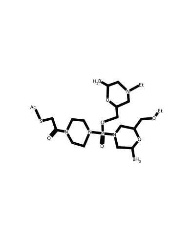 BC1CN(CC)CC(COP(=O)(N2CCN(C(=O)CSC(C)=O)CC2)N2CC(B)OC(COCC)C2)O1